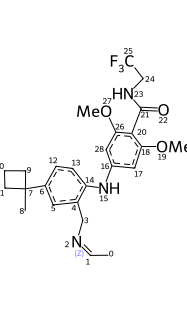 C/C=N\Cc1cc(C2(C)CCC2)ccc1Nc1cc(OC)c(C(=O)NCC(F)(F)F)c(OC)c1